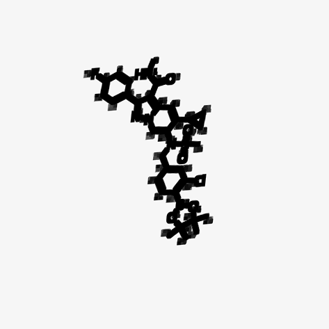 CNC(=O)c1c(-c2ccc(F)cc2)nn2cc(N(Cc3ccc(B4OC(C)(C)C(C)(C)O4)c(Cl)c3)S(C)(=O)=O)c(C3CC3)cc12